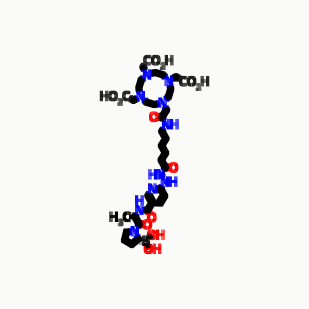 C[C@@H](NC(=O)c1ccc(NNC(=O)CCCCCNC(=O)CN2CCN(CC(=O)O)CCN(CC(=O)O)CCN(CC(=O)O)CC2)nc1)C(=O)N1CCC[C@H]1B(O)O